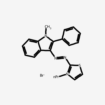 CCC[n+]1ccsc1N=Nc1c(-c2ccccc2)n(C)c2ccccc12.[Br-]